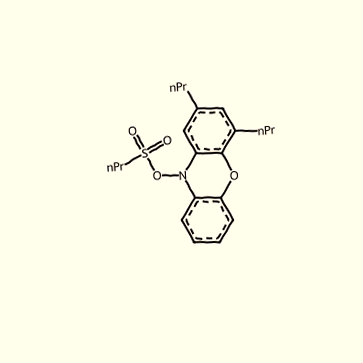 CCCc1cc(CCC)c2c(c1)N(OS(=O)(=O)CCC)c1ccccc1O2